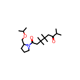 CC(C)OCC1CCCN1C(=O)CC(C)(C)C(C)(C)CC(=O)C(C)C